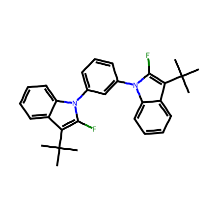 CC(C)(C)c1c(F)n(-c2cccc(-n3c(F)c(C(C)(C)C)c4ccccc43)c2)c2ccccc12